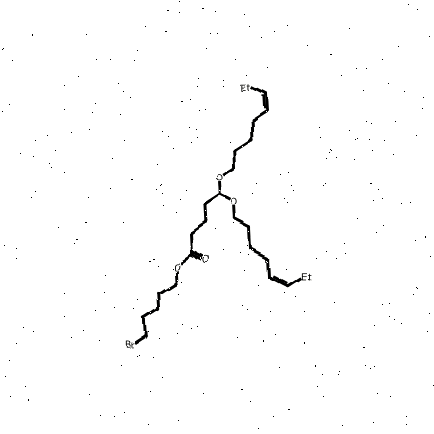 CC/C=C\CCCCOC(CCCC(=O)OCCCCCBr)OCCCC/C=C\CC